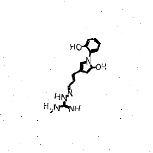 N=C(N)N/N=C/C=C/c1cc(O)n(-c2ccccc2O)c1